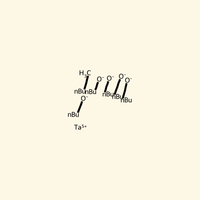 CCCCC.CCCC[O-].CCCC[O-].CCCC[O-].CCCC[O-].CCCC[O-].[Ta+5]